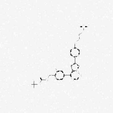 Cc1cc(-c2ncnn3cc(-c4ccc(OCCOS(C)(=O)=O)cc4)cc23)ccc1CNC(=O)OC(C)(C)C